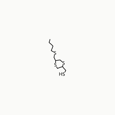 CCCCSCC1CSC(CS)CS1